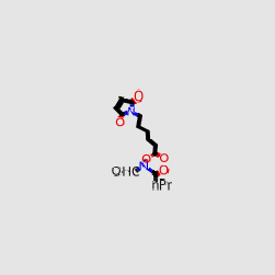 CCCC(=O)N(C=O)OC(=O)CCCCCN1C(=O)C=CC1=O